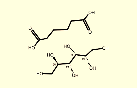 O=C(O)CCCCC(=O)O.OC[C@@H](O)[C@@H](O)[C@H](O)[C@@H](O)CO